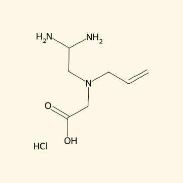 C=CCN(CC(=O)O)CC(N)N.Cl